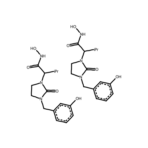 CC(C)C(C(=O)NO)N1CCN(Cc2cccc(O)c2)C1=O.CC(C)C(C(=O)NO)N1CCN(Cc2cccc(O)c2)C1=O